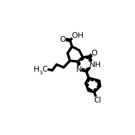 CCCCC1CC(C(=O)O)Cc2c1nc(-c1ccc(Cl)cc1)[nH]c2=O